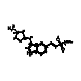 CNS(=O)(=O)/C=C/c1ccc2[nH]cc(CC3CCN(C)C3)c2c1